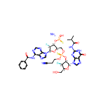 CC(C)C(=O)Nc1nc2c(ncn2[C@@H]2O[C@@H](CO)[C@@H](F)[C@H]2OP(=S)(OCCC#N)OC[C@H]2O[C@@H](n3cnc4c(NC(=O)c5ccccc5)ncnc43)[C@@H](F)[C@@H]2O[PH](O)=S)c(=O)[nH]1.N